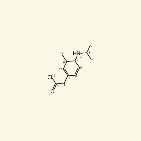 CC(C)NC1C=CC(CC(=O)Cl)=CC1C